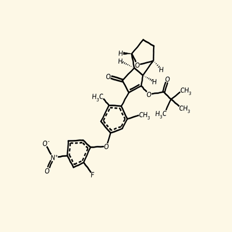 Cc1cc(Oc2ccc([N+](=O)[O-])cc2F)cc(C)c1C1=C(OC(=O)C(C)(C)C)[C@H]2[C@@H](C1=O)[C@@H]1CC[C@@H]2O1